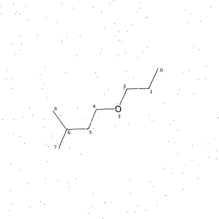 CC[CH]OCCC(C)C